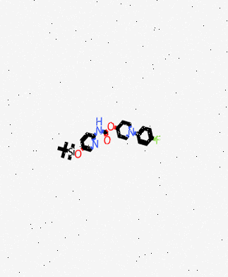 CC(C)(C)[Si](C)(C)Oc1ccc(NC(=O)OC2CCN(c3ccc(F)cc3)CC2)nc1